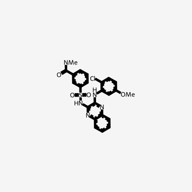 CNC(=O)c1cccc(S(=O)(=O)Nc2nc3ccccc3nc2Nc2cc(OC)ccc2Cl)c1